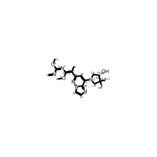 C=N/C(=N\C(OC)=C(/C)c1cc(N2C[C@H](O)C(F)(F)C2)c2nccn2n1)OC